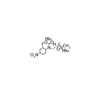 CC(C)(C)OC(=O)N(CCO[Si](C)(C)C(C)(C)C)c1ccc([N+](=O)[O-])cc1F